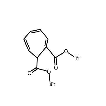 CC(C)OC(=O)C1=CC=CC=CC1C(=O)OC(C)C